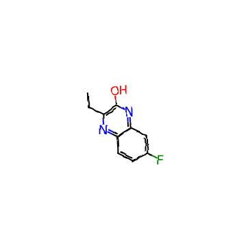 CCc1nc2ccc(F)cc2nc1O